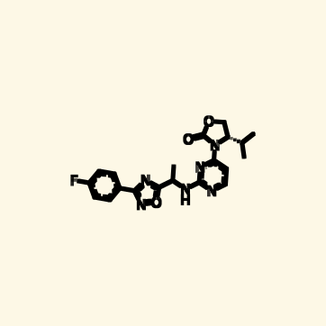 CC(Nc1nccc(N2C(=O)OC[C@@H]2C(C)C)n1)c1nc(-c2ccc(F)cc2)no1